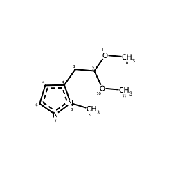 COC(Cc1ccnn1C)OC